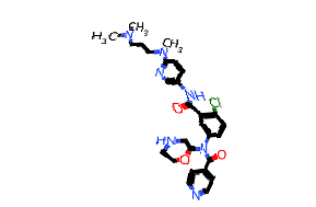 CN(C)CCCN(C)c1ccc(NC(=O)c2cc(N(C(=O)c3ccncc3)C3CNCCO3)ccc2Cl)cn1